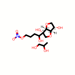 CC(O)CO.O=[N+]([O-])OCCCC(O)[C@]1(O)CO[C@@H]2[C@@H](O)CO[C@@H]21